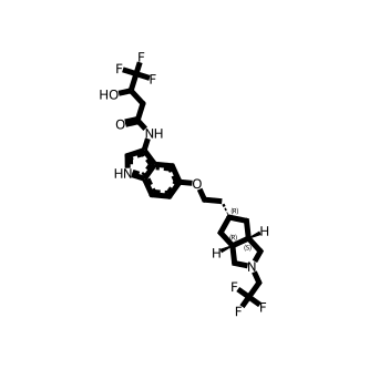 O=C(CC(O)C(F)(F)F)Nc1c[nH]c2ccc(OCC[C@@H]3C[C@@H]4CN(CC(F)(F)F)C[C@@H]4C3)cc12